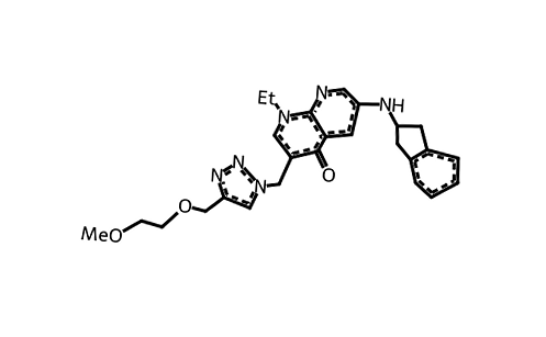 CCn1cc(Cn2cc(COCCOC)nn2)c(=O)c2cc(NC3Cc4ccccc4C3)cnc21